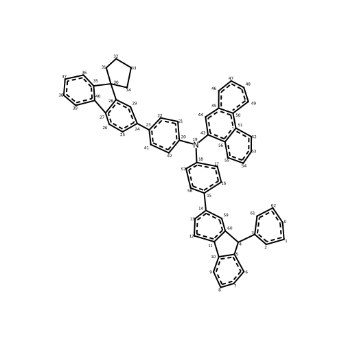 c1ccc(C2c3ccccc3-c3ccc(-c4ccc(N(c5ccc(-c6ccc7c(c6)C6(CCCC6)c6ccccc6-7)cc5)c5cc6ccccc6c6ccccc56)cc4)cc32)cc1